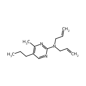 C=CCN(CC=C)c1ncc(CCC)c(C)n1